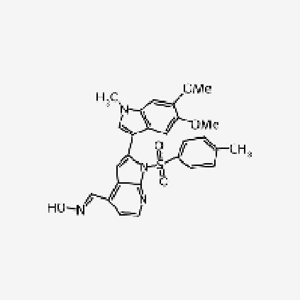 COc1cc2c(-c3cc4c(C=NO)ccnc4n3S(=O)(=O)c3ccc(C)cc3)cn(C)c2cc1OC